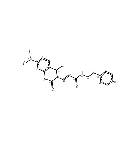 CCN(CC)c1ccc2c(c1)OC(=O)C(C=CC(=O)NCCc1ccncc1)C2C